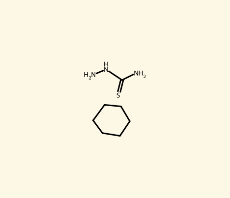 C1CCCCC1.NNC(N)=S